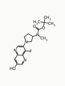 CN(C(=O)OC(C)(C)C)C1CCN(c2cnc3cc(O)cnc3c2F)C1